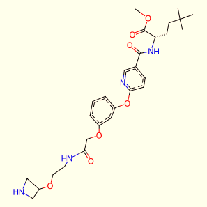 COC(=O)[C@H](CCC(C)(C)C)NC(=O)c1ccc(Oc2cccc(OCC(=O)NCCOC3CNC3)c2)nc1